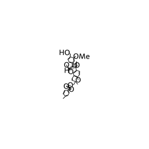 COc1cc2c(cc1CO)OC[C@H]1Oc3c(ccc4c3C=CC(C)(COS(=O)(=O)c3ccc(C)cc3)O4)C(=O)[C@@H]21